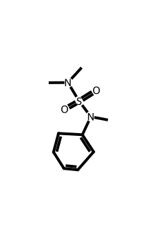 CN(C)S(=O)(=O)N(C)c1ccccc1